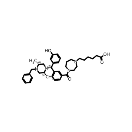 C[C@@H]1CN([C@@H](c2cccc(O)c2)c2cccc(C(=O)N3CCCN(CCCCCC(=O)O)CC3)c2)[C@@H](C)CN1Cc1ccccc1